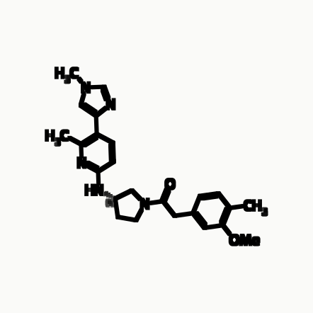 COc1cc(CC(=O)N2CC[C@H](Nc3ccc(-c4cn(C)cn4)c(C)n3)C2)ccc1C